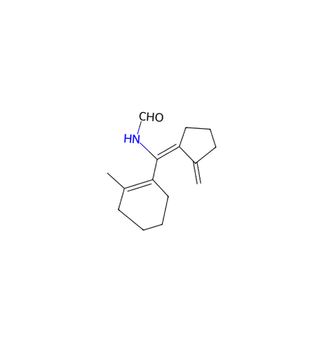 C=C1CCC/C1=C(\NC=O)C1=C(C)CCCC1